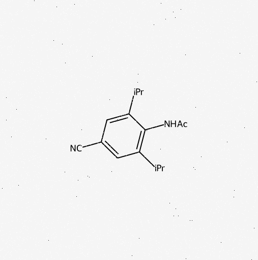 CC(=O)Nc1c(C(C)C)cc(C#N)cc1C(C)C